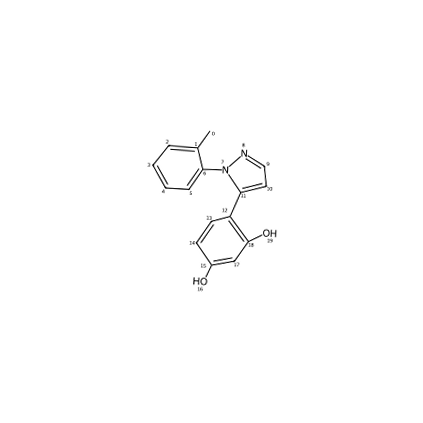 Cc1ccccc1-n1nccc1-c1ccc(O)cc1O